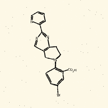 O=C(O)c1cc(Br)ccc1N1CCc2nc(-c3ccccn3)ncc2C1